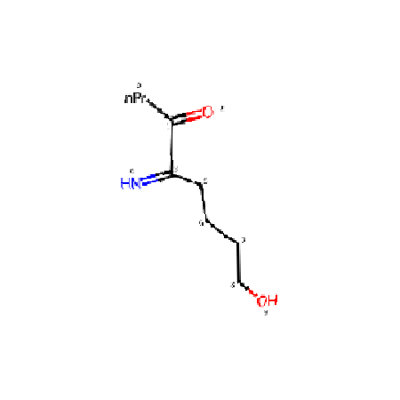 CCCC(=O)C(=N)CCCCO